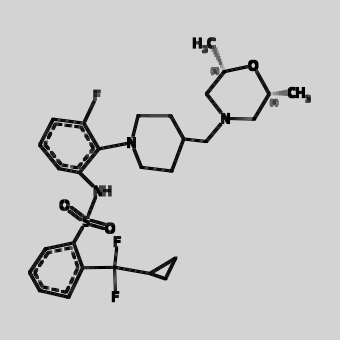 C[C@@H]1CN(CC2CCN(c3c(F)cccc3NS(=O)(=O)c3ccccc3C(F)(F)C3CC3)CC2)C[C@H](C)O1